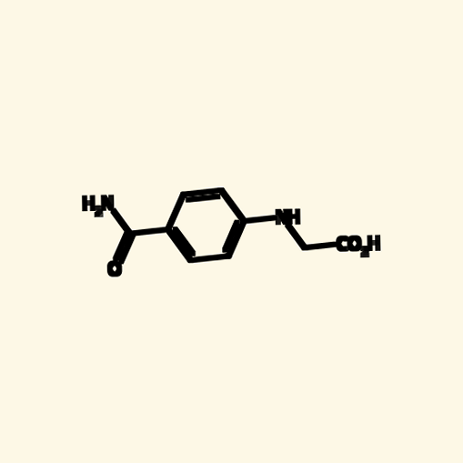 NC(=O)c1ccc(NCC(=O)O)cc1